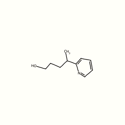 CC(CCCO)c1ccccn1